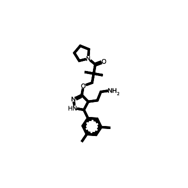 Cc1cc(C)cc(C2NN=C(OCC(C)(C)C(=O)N3CCCC3)C2CCN)c1